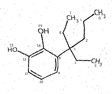 CCCC(CC)(CC)c1cccc(O)c1O